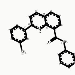 O=C(Nc1cccnc1)c1cccc2ccc(-c3cccc(C(F)(F)F)c3)nc12